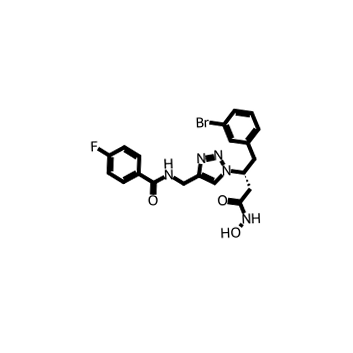 O=C(C[C@@H](Cc1cccc(Br)c1)n1cc(CNC(=O)c2ccc(F)cc2)nn1)NO